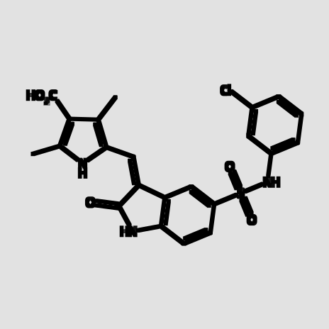 Cc1[nH]c(/C=C2\C(=O)Nc3ccc(S(=O)(=O)Nc4cccc(Cl)c4)cc32)c(C)c1C(=O)O